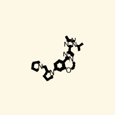 Cc1nc(-c2cn3c(n2)-c2ccc(N4CCCC4CN4CCCC4)cc2OCC3)n(C(C)C)n1